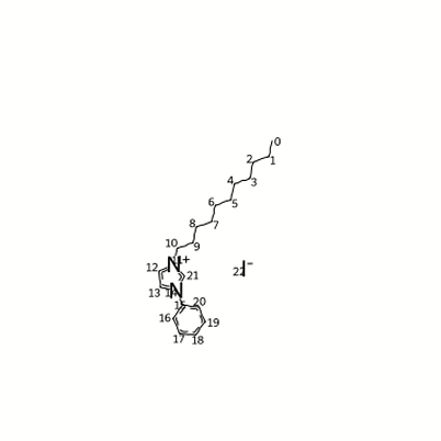 CCCCCCCCCCC[n+]1ccn(-c2ccccc2)c1.[I-]